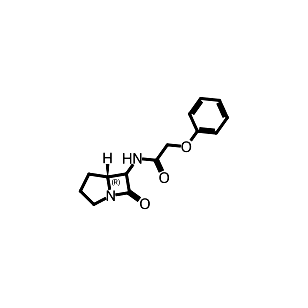 O=C(COc1ccccc1)NC1C(=O)N2CCC[C@H]12